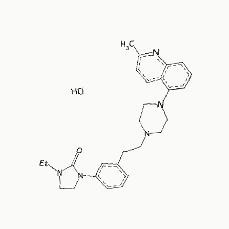 CCN1CCN(c2cccc(CCN3CCN(c4cccc5nc(C)ccc45)CC3)c2)C1=O.Cl